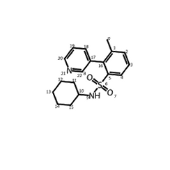 Cc1cccc(S(=O)(=O)NC2CCCCC2)c1-c1cccnc1